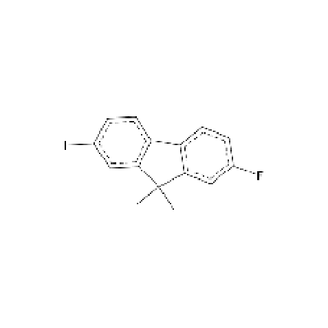 CC1(C)c2cc(F)ccc2-c2ccc(I)cc21